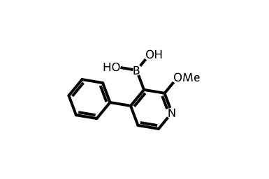 COc1nccc(-c2ccccc2)c1B(O)O